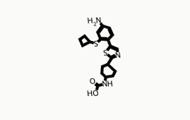 Nc1ccc(-c2cnc(C3CCC(NC(=O)O)CC3)s2)c(SC2CCC2)c1